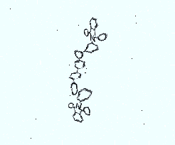 O=C1c2ccccc2C(=O)N1c1cccc(Oc2ccc(-c3ccc(Oc4cccc(N5C(=O)c6ccccc6C5=O)c4)cc3)cc2)c1